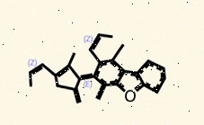 C=C1CC(/C=C\C)=C(C)C/1=c1\c(/C=C\C)c(C)c2c(oc3ccccc32)c1=C